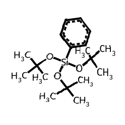 CC(C)(C)O[Si](OC(C)(C)C)(OC(C)(C)C)c1ccccc1